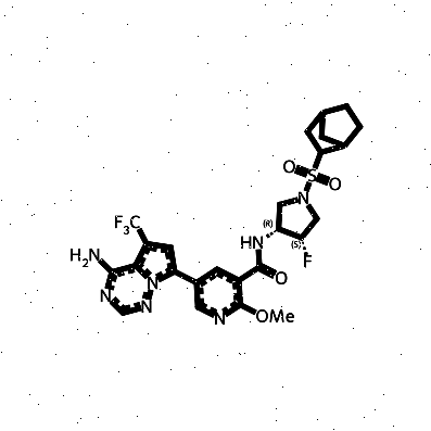 COc1ncc(-c2cc(C(F)(F)F)c3c(N)ncnn23)cc1C(=O)N[C@@H]1CN(S(=O)(=O)C2CC3CCC2C3)C[C@@H]1F